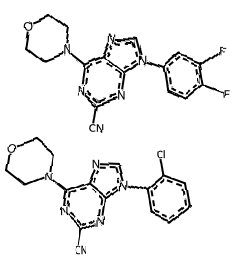 N#Cc1nc(N2CCOCC2)c2ncn(-c3ccc(F)c(F)c3)c2n1.N#Cc1nc(N2CCOCC2)c2ncn(-c3ccccc3Cl)c2n1